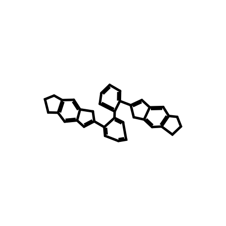 C1=C(c2ccccc2-c2ccccc2C2=Cc3cc4c(cc3C2)CCC4)Cc2cc3c(cc21)CCC3